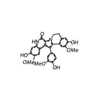 COc1cc(-c2c3n(c4c(=O)[nH]c5cc(O)c(OC)cc5c24)CCc2cc(O)c(OC)cc2-3)ccc1O